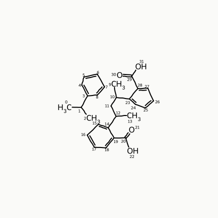 CC(C)c1ccccc1.CC(CC(C)c1ccccc1C(=O)O)c1ccccc1C(=O)O